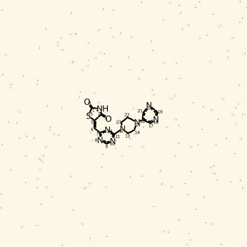 O=C1NC(=O)/C(=C\c2ncnc(N3CCN(c4cncnc4)CC3)n2)S1